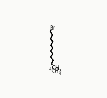 CCCCCCCCCCCCBr.[4CH4]